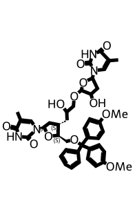 COc1ccc(C(OC[C@H]2O[C@@H](n3cc(C)c(=O)[nH]c3=O)C[C@@H]2CC(O)COC2OC(n3cc(C)c(=O)[nH]c3=O)CC2O)(c2ccccc2)c2ccc(OC)cc2)cc1